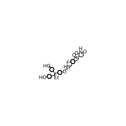 CC/C(=C(/c1ccc(O)cc1)c1ccc(OCCNCc2cc3c(cc2F)C(=O)N(C2CCC(=O)NC2=O)C3)cc1)c1ccc(O)cc1